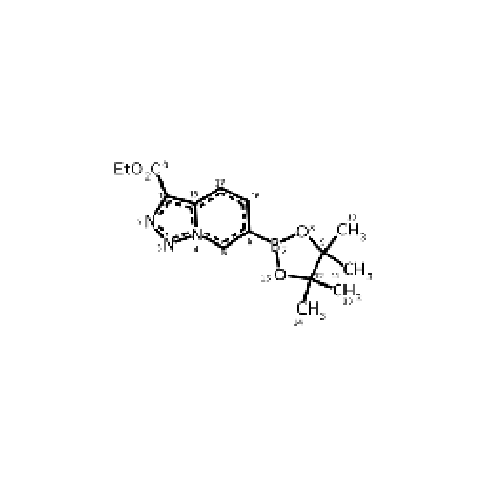 CCOC(=O)c1nnn2cc(B3OC(C)(C)C(C)(C)O3)ccc12